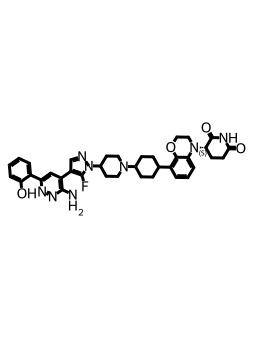 Nc1nnc(-c2ccccc2O)cc1-c1cnn(C2CCN(C3CCC(c4cccc5c4OCCN5[C@H]4CCC(=O)NC4=O)CC3)CC2)c1F